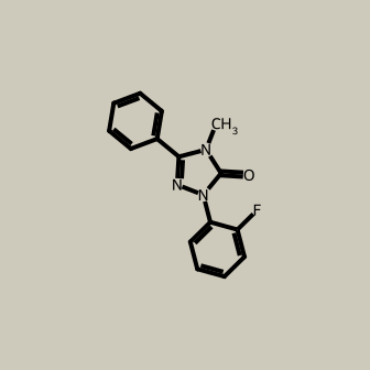 Cn1c(-c2ccccc2)nn(-c2ccccc2F)c1=O